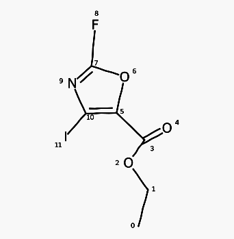 CCOC(=O)c1oc(F)nc1I